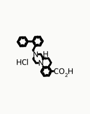 Cl.O=C(O)c1cccc2c1CC[C@H]1CN(Cc3ccccc3-c3ccccc3)CCN21